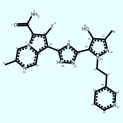 Cc1cn2c(C(N)=O)c(F)c(-c3nc(-c4c(O)c(C)nn4CCc4cccnc4)n[nH]3)c2cn1